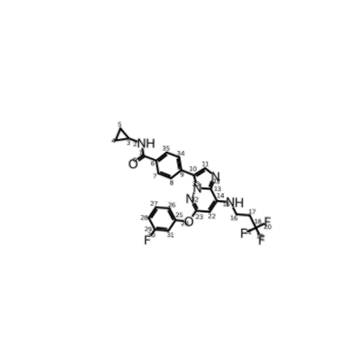 O=C(NC1CC1)c1ccc(-c2cnc3c(NCCC(F)(F)F)cc(Oc4cccc(F)c4)nn23)cc1